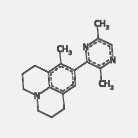 Cc1cnc(C)c(-c2cc3c4c(c2C)CCCN4CCC3)n1